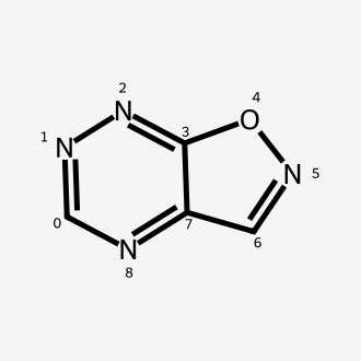 c1nnc2oncc2n1